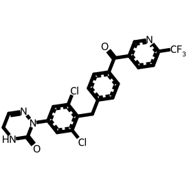 O=C(c1ccc(Cc2c(Cl)cc(N3N=CCNC3=O)cc2Cl)cc1)c1ccc(C(F)(F)F)nc1